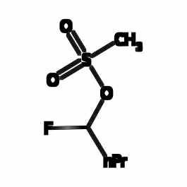 CCCC(F)OS(C)(=O)=O